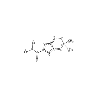 CCC(CC)C(=O)c1cc2c(s1)=CC(C)(C)CC=2